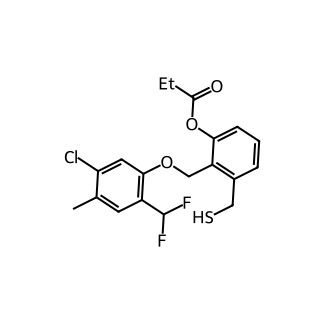 CCC(=O)Oc1cccc(CS)c1COc1cc(Cl)c(C)cc1C(F)F